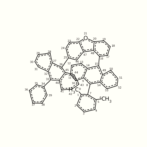 Cc1cccc(C)c1-c1c2ccccc2c(-c2cccc3oc4ccc(-c5c6ccccc6c(-c6ccccc6)c6ccccc56)cc4c23)c2ccccc12